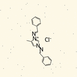 Cc1cn(N=Cc2ccccc2)c[n+]1N=Cc1ccccc1.[Cl-]